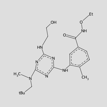 CCONC(=O)c1ccc(C)c(Nc2nc(NCCO)nc(N(C)CC(C)(C)C)n2)c1